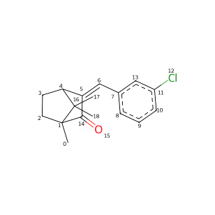 CC12CCC(/C(=C/c3cccc(Cl)c3)C1=O)C2(C)C